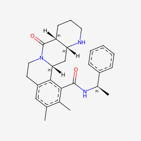 Cc1cc2c(c(C(=O)N[C@H](C)c3ccccc3)c1C)[C@H]1C[C@H]3NCCC[C@H]3C(=O)N1CC2